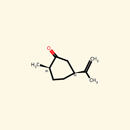 C=C(C)[C@H]1CC[C@@H](C)C(=O)C1